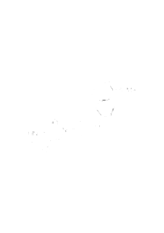 COC(=O)c1ccc(OC2CC(N(CC3CNCCO3)C(C)C)C2)cc1F